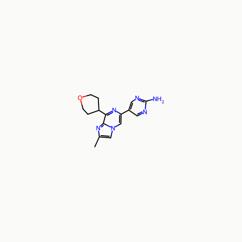 Cc1cn2cc(-c3cnc(N)nc3)nc(C3CCOCC3)c2n1